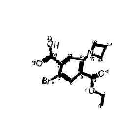 CCOC(=O)c1cc(Br)c(C(=O)O)cc1N1CCC1